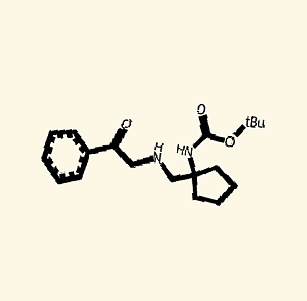 CC(C)(C)OC(=O)NC1(CNCC(=O)c2ccccc2)CCCC1